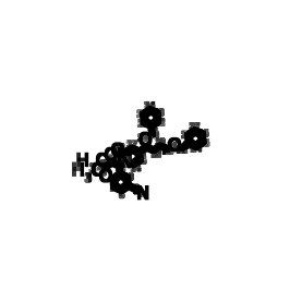 CC1(C)Oc2ccc(C#N)cc2C(n2ccc(C(CCCOCc3ccccc3)OCc3ccccc3)cc2=O)C1O